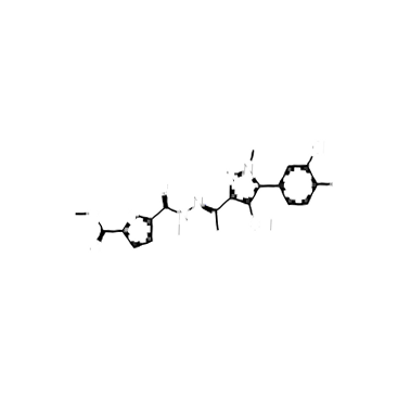 COC(=O)c1ccc(C(=O)N/N=C(\C)c2nn(C)c(-c3ccc(Cl)c(Cl)c3)c2O)s1